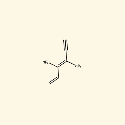 C#C/C(CCC)=C(/C=C)CCC